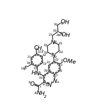 COc1cc2nnc(C(N)=O)c(Nc3ccc(C)cc3F)c2cc1N1CCN(C[C@H](O)CO)CC1